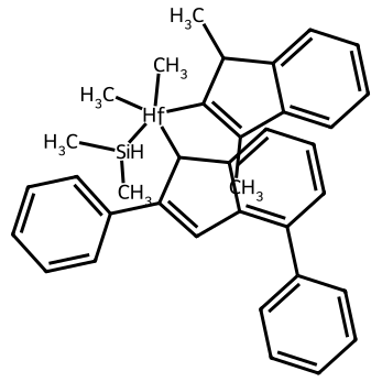 CC1=[C]([Hf]([CH3])([CH3])([CH]2C(c3ccccc3)=Cc3c(-c4ccccc4)cccc32)[SiH](C)C)C(C)c2ccccc21